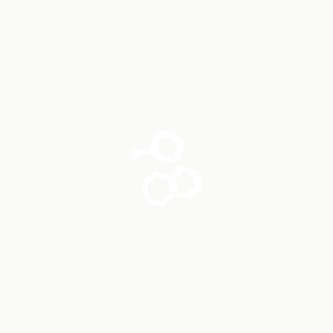 Clc1ccccc1.c1ccc2c(c1)CCCC2